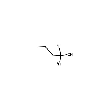 [2H]C([2H])(O)CCC